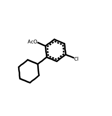 CC(=O)Oc1ccc(Cl)cc1C1CCCCC1